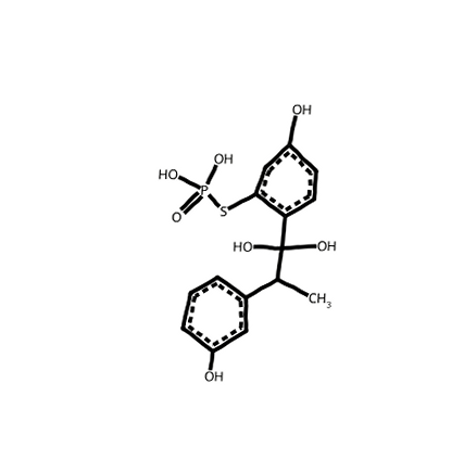 CC(c1cccc(O)c1)C(O)(O)c1ccc(O)cc1SP(=O)(O)O